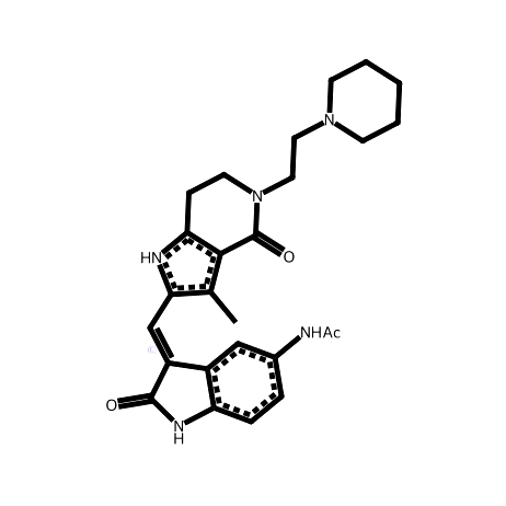 CC(=O)Nc1ccc2c(c1)/C(=C\c1[nH]c3c(c1C)C(=O)N(CCN1CCCCC1)CC3)C(=O)N2